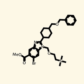 COC(=O)c1cc2nc(C3CCC(COCc4ccccc4)CC3)n(COCC[Si](C)(C)C)c2cc1Br